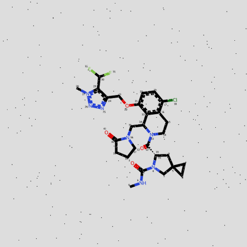 CNC(=O)N1CC2(CC2)C[C@H]1C(=O)N1CCc2c(Cl)ccc(OCc3nnn(C)c3C(F)F)c2C1CN1CCCC1=O